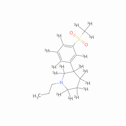 [2H]c1c([2H])c(C2([2H])C([2H])([2H])N(CCC)C([2H])([2H])C([2H])([2H])C2([2H])[2H])c([2H])c(S(=O)(=O)C([2H])([2H])[2H])c1[2H]